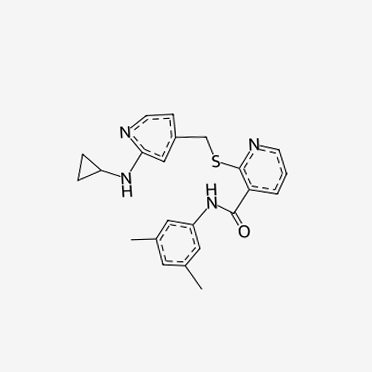 Cc1cc(C)cc(NC(=O)c2cccnc2SCc2ccnc(NC3CC3)c2)c1